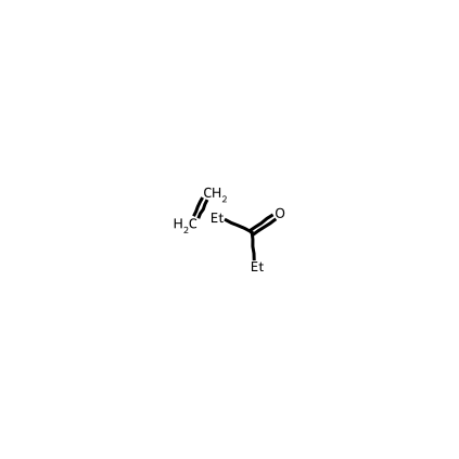 C=C.CCC(=O)CC